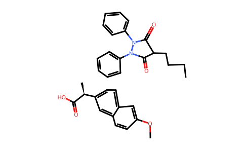 CCCCC1C(=O)N(c2ccccc2)N(c2ccccc2)C1=O.COc1ccc2cc([C@H](C)C(=O)O)ccc2c1